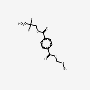 CCOCOC(=O)c1ccc(C(=O)OCC(F)(F)C(=O)O)cc1